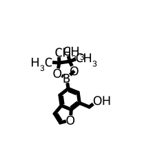 CC1(C)OB(c2cc(CO)c3occc3c2)OC1(C)C